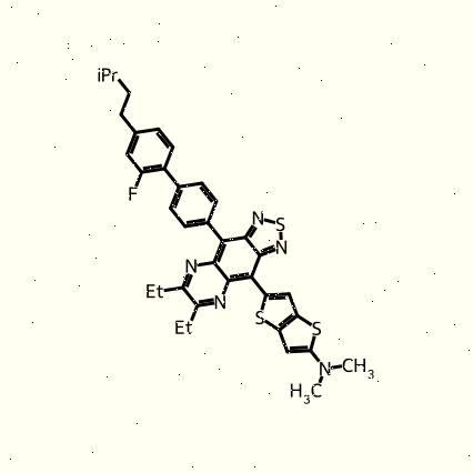 CCc1nc2c(-c3ccc(-c4ccc(CCC(C)C)cc4F)cc3)c3nsnc3c(-c3cc4sc(N(C)C)cc4s3)c2nc1CC